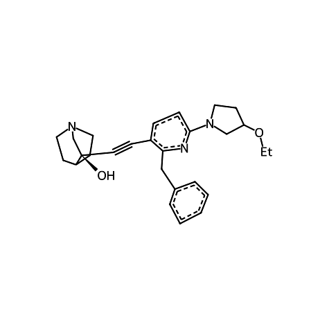 CCOC1CCN(c2ccc(C#C[C@@]3(O)CN4CCC3CC4)c(Cc3ccccc3)n2)C1